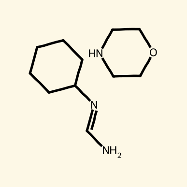 C1COCCN1.NC=NC1CCCCC1